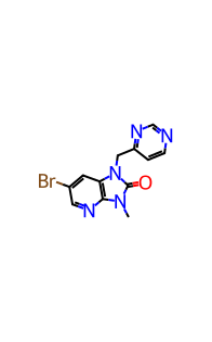 Cn1c(=O)n(Cc2ccncn2)c2cc(Br)cnc21